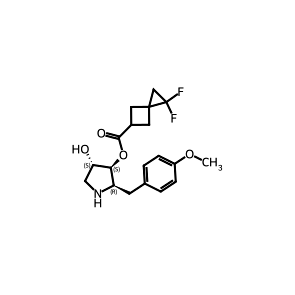 COc1ccc(C[C@H]2NC[C@H](O)[C@H]2OC(=O)C2CC3(C2)CC3(F)F)cc1